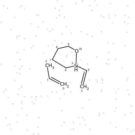 C=CC.C=C[SiH]1CCCCO1